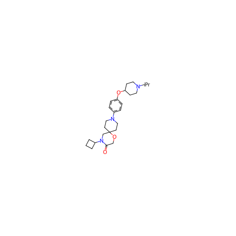 CC(C)N1CCC(Oc2ccc(N3CCC4(CC3)CN(C3CCC3)C(=O)CO4)cc2)CC1